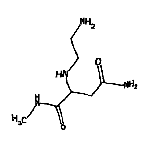 CNC(=O)C(CC(N)=O)NCCN